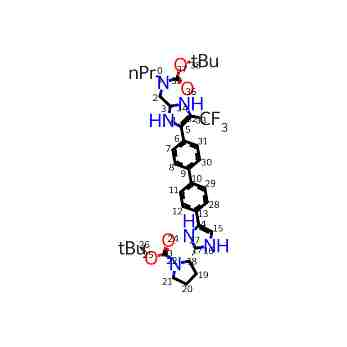 CCCN(CC1NC(c2ccc(-c3ccc(C4=CNC([C@@H]5CCCN5C(=O)OC(C)(C)C)N4)cc3)cc2)=C(C(F)(F)F)N1)C(=O)OC(C)(C)C